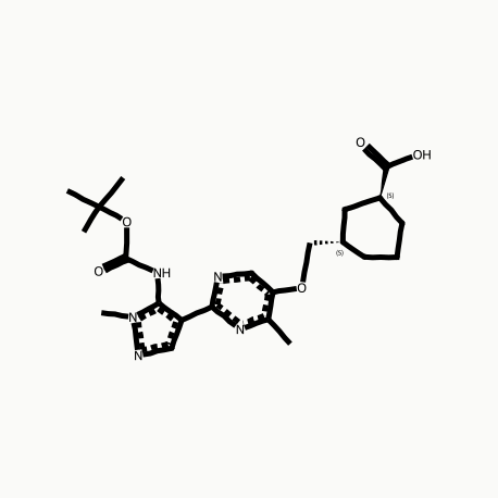 Cc1nc(-c2cnn(C)c2NC(=O)OC(C)(C)C)ncc1OC[C@H]1CCC[C@H](C(=O)O)C1